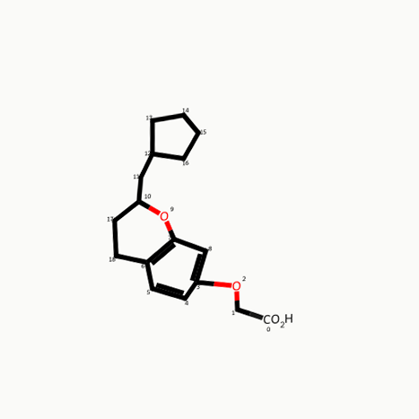 O=C(O)COc1ccc2c(c1)OC(CC1CCCC1)CC2